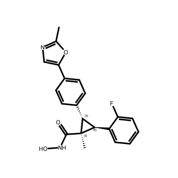 Cc1ncc(-c2ccc([C@@H]3[C@@H](c4ccccc4F)[C@@]3(C)C(=O)NO)cc2)o1